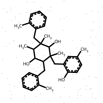 Cc1ccc(O)c(CC2(C)C(Cc3ccccc3C)C(O)C(C)C(C)(Cc3ccccc3C)C2O)c1